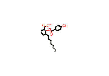 CCCCCCCCc1cccc(C(=O)O)c1OC(=O)c1ccc(O)cc1